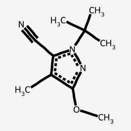 COc1nn(C(C)(C)C)c(C#N)c1C